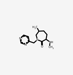 CNC1CCC(C)CN(Cc2ccncn2)C1=O